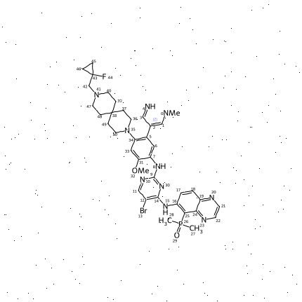 CN/C=C(\C=N)c1cc(Nc2ncc(Br)c(Nc3ccc4nccnc4c3P(C)(C)=O)n2)c(OC)cc1N1CCC2(CCN(CC3(F)CC3)CC2)CC1